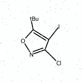 CC(C)(C)c1onc(Cl)c1I